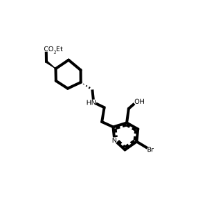 CCOC(=O)C[C@H]1CC[C@H](CNCCc2ncc(Br)cc2CO)CC1